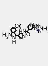 CNN(/C=N\N)c1cc(C(=O)Nc2cc(C(=N)c3cc(OC(C)C)ccc3N)ccn2)ccn1